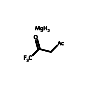 CC(=O)CC(=O)C(F)(F)F.[MgH2]